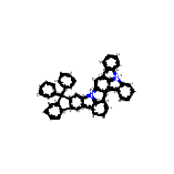 c1ccc(C2(c3ccccc3)c3ccccc3-c3cc4c5cccc6c7c8c9ccccc9n9c%10ccccc%10c(cc7n(c4cc32)c56)c89)cc1